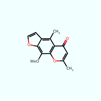 COc1c2occc2c(C)c2c(=O)cc(C)oc12